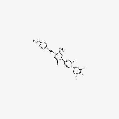 Cc1ccc(C#Cc2cc(F)c(-c3ccc(-c4cc(F)c(F)c(F)c4)c(F)c3)cc2C)cc1